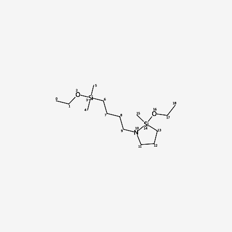 CCO[Si](C)(C)CCCCN1CCC[Si]1(C)OCC